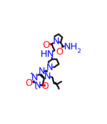 CC(C)=CCn1c(N2CCCC(NCC(=O)N3CCCC3C(N)=O)C2)nc2c1c(=O)n(C)c(=O)n2C